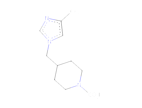 O=C(O)N1CCC(Cn2cnc(C(F)(F)F)c2)CC1